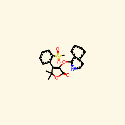 CC1(C)OC(=O)C(Oc2nccc3ccccc23)=C1c1ccccc1S(C)(=O)=O